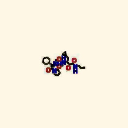 C=CCNC(=O)C(=O)C(CC1CC1)NCOC1CCCN1C(=O)[C@@H](NC=O)C1CCCCC1